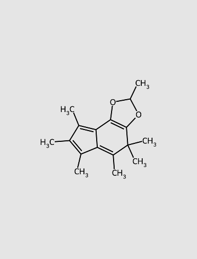 CC1=C(C)C2=C(C)C(C)(C)C3=C(OC(C)O3)C2=C1C